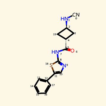 N#CN[C@H]1C[C@H](C(=O)Nc2ncc(-c3ccccc3)s2)C1